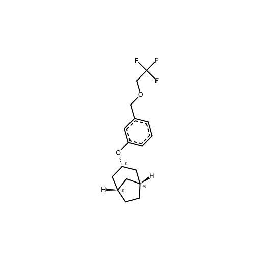 FC(F)(F)COCc1cccc(O[C@@H]2C[C@@H]3CC[C@@H](C3)C2)c1